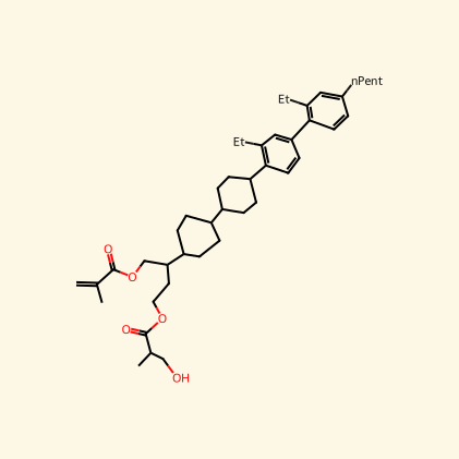 C=C(C)C(=O)OCC(CCOC(=O)C(C)CO)C1CCC(C2CCC(c3ccc(-c4ccc(CCCCC)cc4CC)cc3CC)CC2)CC1